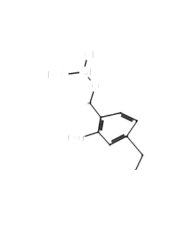 C[SiH](C)OCc1ccc(CI)cc1C(C)(C)C